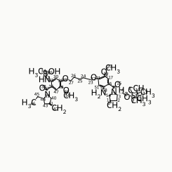 C=C1C[C@@H](CO[Si](C)(C)C(C)(C)C)N(C(=O)c2cc(OC)c(OCCCCCOc3cc(NB(C)O)c(C(=O)N4CC(=C)C[C@H]4CC)cc3OC)cc2N)C1